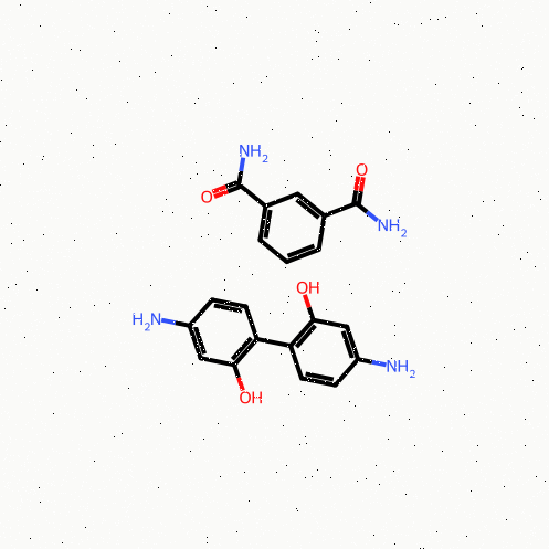 NC(=O)c1cccc(C(N)=O)c1.Nc1ccc(-c2ccc(N)cc2O)c(O)c1